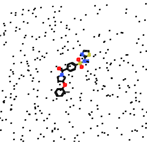 Cc1ccccc1O[C@H]1CCN(C(=O)c2ccc(S(=O)(=O)Nc3nccs3)cc2)C1